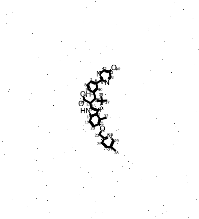 COc1cnc(-c2cccc(CC(C(=O)O)c3[nH]c4ccc(OCc5ccc(C)cn5)c(C)c4c3SC(C)(C)C)c2)nc1